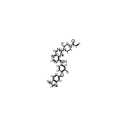 C=CC(=O)N1CCN(c2ncc3ncnc(Nc4ccc(Oc5ccc6c(c5)ncn6C)c(C)c4)c3n2)[C@@H](C)C1